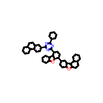 c1ccc(-c2nc(-c3ccc4c(ccc5ccccc54)c3)nc(-c3ccc(-c4ccc5oc6ccc7ccccc7c6c5c4)c4oc5ccccc5c34)n2)cc1